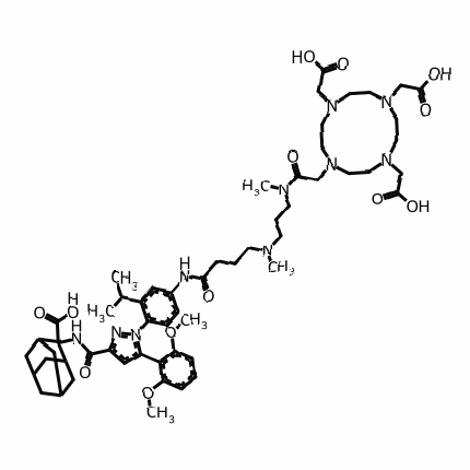 COc1cccc(OC)c1-c1cc(C(=O)NC2(C(=O)O)C3CC4CC(C3)CC2C4)nn1-c1ccc(NC(=O)CCCN(C)CCCN(C)C(=O)CN2CCN(CC(=O)O)CCN(CC(=O)O)CCN(CC(=O)O)CC2)cc1C(C)C